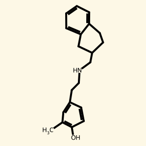 Cc1cc(CCNCC2CCc3ccccc3C2)ccc1O